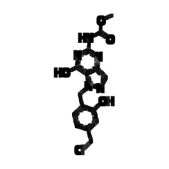 COC(=O)Nc1nc(O)c2c(cnn2Cc2ccc(CCl)cc2O)n1